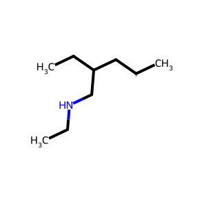 C[CH]CC(CC)CNCC